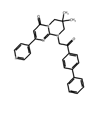 CC1(C)CN(CC(=O)c2ccc(-c3ccccc3)cc2)c2nc(-c3ccncc3)cc(=O)n2C1